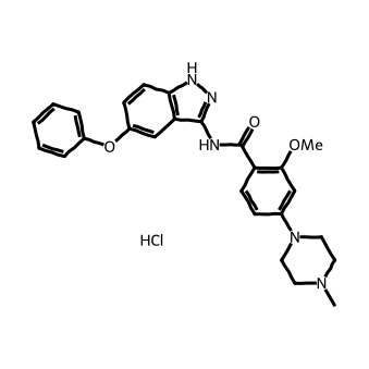 COc1cc(N2CCN(C)CC2)ccc1C(=O)Nc1n[nH]c2ccc(Oc3ccccc3)cc12.Cl